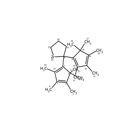 CC1=C(C)C(C)(C)C([C]2(C3=C(C)C(C)=C(C)C3(C)C)CC[CH2][Zr]2)=C1C